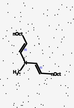 CCCCCCCC/C=C/N(C)/C=C/CCCCCCCC